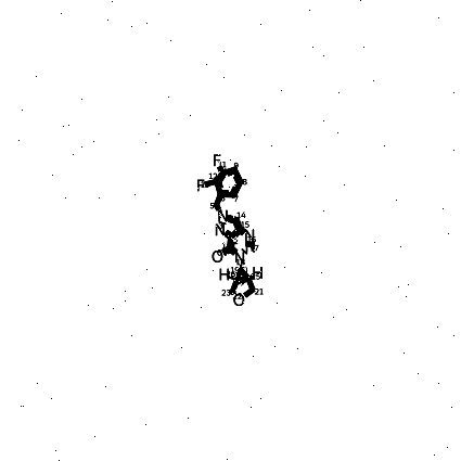 O=c1c2nn(Cc3cccc(F)c3F)cc2nnn1[C@@H]1[C@@H]2COC[C@@H]21